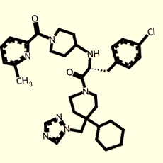 Cc1cccc(C(=O)N2CCC(N[C@H](Cc3ccc(Cl)cc3)C(=O)N3CCC(Cn4cncn4)(C4CCCCC4)CC3)CC2)n1